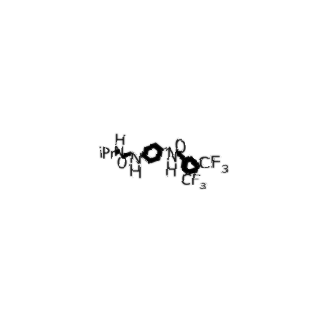 CC(C)NC(=O)CN[C@H]1CC[C@H](CNC(=O)c2cc(C(F)(F)F)cc(C(F)(F)F)c2)CC1